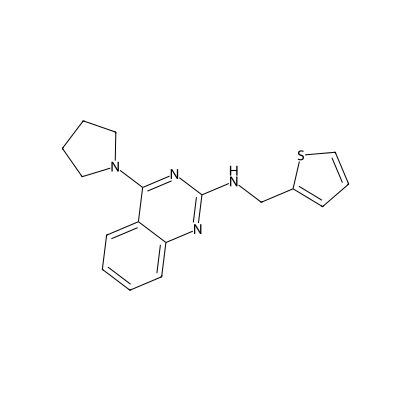 c1csc(CNc2nc(N3CCCC3)c3ccccc3n2)c1